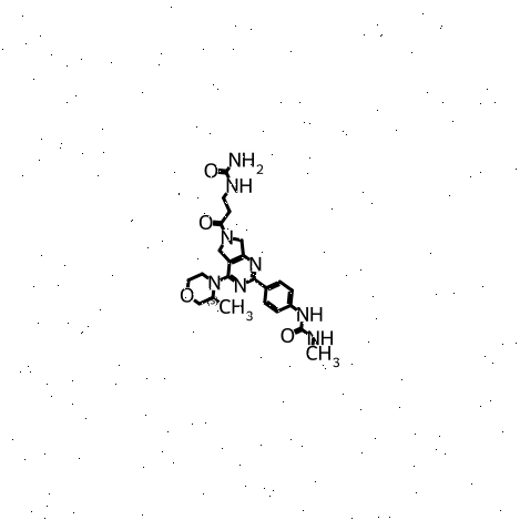 CNC(=O)Nc1ccc(-c2nc3c(c(N4CCOC[C@@H]4C)n2)CN(C(=O)CCNC(N)=O)C3)cc1